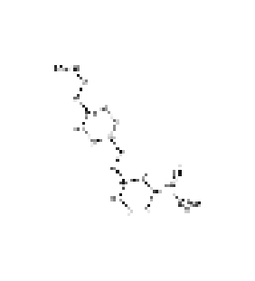 COCCN1CCN(CCN2CCCC(C(=O)OC)C2)CC1